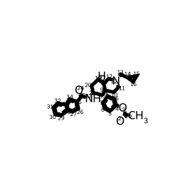 CC(=O)Oc1cccc([C@@]23CCN(CC4CC4)C[C@H]2CC[C@@H](NC(=O)c2ccc4ccccc4c2)C3)c1